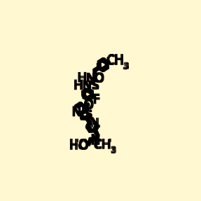 Cc1ccc(CC(=O)NC(=S)Nc2ccc(Oc3ccnc4cc(-c5ccc(CN(C)CCO)cn5)sc34)c(F)c2)cc1